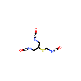 O=C=NCSC(CN=C=O)CN=C=O